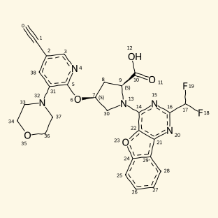 C#Cc1cnc(O[C@H]2C[C@@H](C(=O)O)N(c3nc(C(F)F)nc4c3oc3ccccc34)C2)c(N2CCOCC2)c1